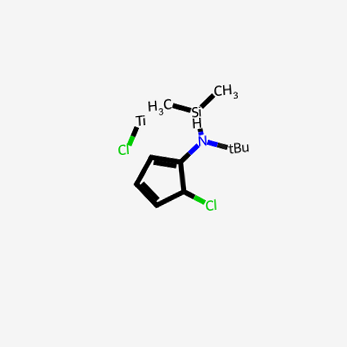 C[SiH](C)N(C1=CC=CC1Cl)C(C)(C)C.[Cl][Ti]